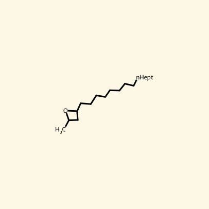 CCCCCCCCCCCCCCC[C]1CC(C)O1